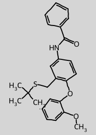 COc1cc[c]cc1Oc1ccc(NC(=O)c2ccccc2)cc1CSC(C)(C)C